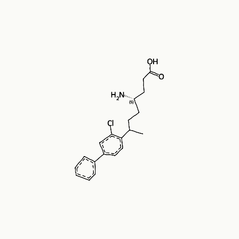 CC(CC[C@H](N)CCC(=O)O)c1ccc(-c2ccccc2)cc1Cl